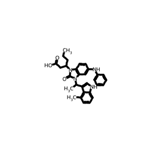 CCCC(CC(=O)O)n1c(=O)n(C(C)c2c[nH]c3cccc(C)c23)c2cc(Nc3ccccc3)ccc21